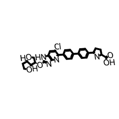 O=C(O)C1CCC(c2ccc(-c3ccc(-c4nc5nc(O[C@@H]6CO[C@@H]7CCO[C@@H]76)[nH]c5cc4Cl)cc3)cc2)=N1